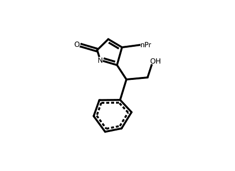 CCCC1=CC(=O)N=C1C(CO)c1ccccc1